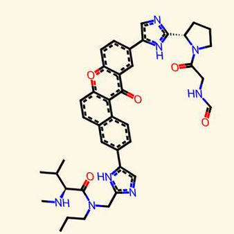 CCCN(Cc1ncc(-c2ccc3c(ccc4oc5ccc(-c6cnc([C@@H]7CCCN7C(=O)CNC=O)[nH]6)cc5c(=O)c43)c2)[nH]1)C(=O)[C@@H](NC)C(C)C